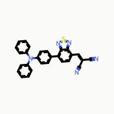 N#CC(C#N)=Cc1ccc(-c2ccc(N(c3ccccc3)c3ccccc3)cc2)c2nsnc12